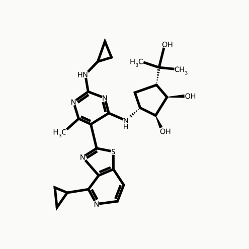 Cc1nc(NC2CC2)nc(N[C@@H]2C[C@H](C(C)(C)O)[C@@H](O)[C@H]2O)c1-c1nc2c(C3CC3)nccc2s1